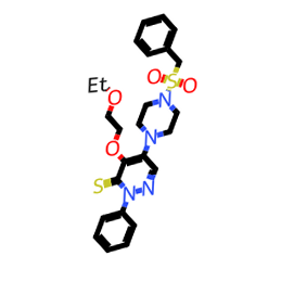 CCOCCOc1c(N2CCN(S(=O)(=O)Cc3ccccc3)CC2)cnn(-c2ccccc2)c1=S